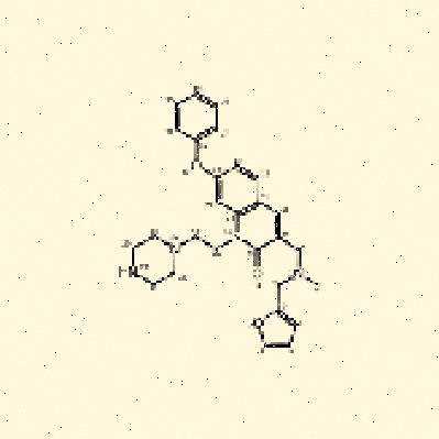 CN(Cc1ccco1)Cc1cc2ccc(Oc3ccccc3)cc2n(CCN2CCNCC2)c1=O